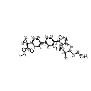 CCOC(=O)C1(c2ccc(-c3ccc(-c4onc(C)c4NC(C)CCCO)cc3)cc2)CC1